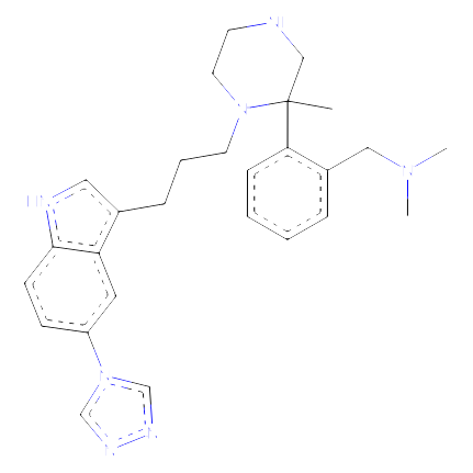 CN(C)Cc1ccccc1C1(C)CNCCN1CCCc1c[nH]c2ccc(-n3cnnc3)cc12